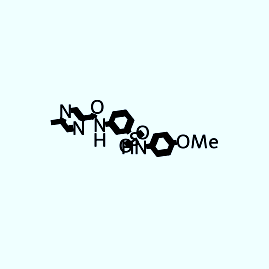 COc1ccc(NS(=O)(=O)c2cccc(NC(=O)c3cnc(C)cn3)c2)cc1